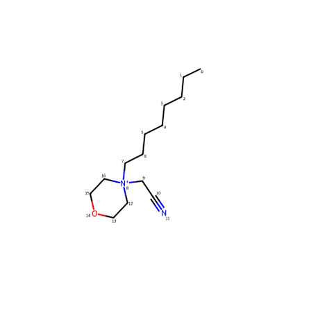 CCCCCCCC[N+]1(CC#N)CCOCC1